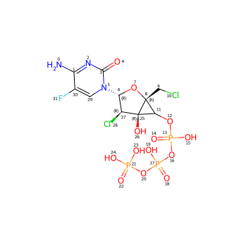 Nc1nc(=O)n([C@@H]2O[C@]3(CCl)C(OP(=O)(O)OP(=O)(O)OP(=O)(O)O)[C@]3(O)[C@H]2Cl)cc1F